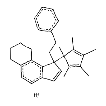 CC1=C(C)C(C)(C2(CCc3ccccc3)C=Cc3ccc4c(c32)CCCC4)C(C)=C1C.[Hf]